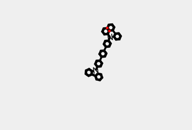 c1ccc(-c2ccccc2N(c2ccccc2)c2ccc(-c3ccc(-c4ccc(-n5c6ccccc6c6ccccc65)cc4)cc3)cc2)cc1